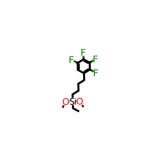 CC[Si](CCCCc1cc(F)c(F)c(F)c1F)(OC)OC